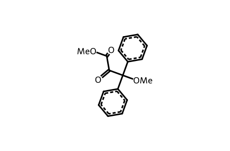 COC(=O)C(=O)C(OC)(c1ccccc1)c1ccccc1